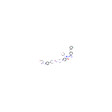 O=C1CCC(Nc2ccc(C3CCN(C(=O)CN4CCN(c5ccc(C(=O)Nc6n[nH]c7ccc(Cc8cc(F)cc(F)c8)cc67)c(NC6CCOCC6)c5)CC4)CC3)cc2)C(=O)N1